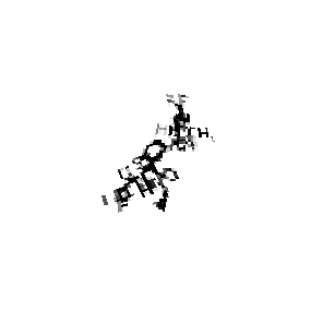 Cn1nc(C(F)F)cc1Nc1nncn1[C@H]1CCc2sc(NC(=O)C3CC(F)(F)C3)c(C(=O)NCC3CC3)c2C1